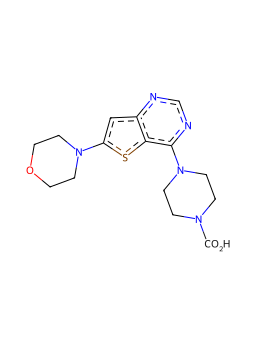 O=C(O)N1CCN(c2ncnc3cc(N4CCOCC4)sc23)CC1